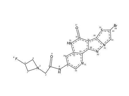 O=C(CN1CC(F)C1)Nc1cnc2c(c1)[nH]c(=O)c1c2nn2cc(Br)sc12